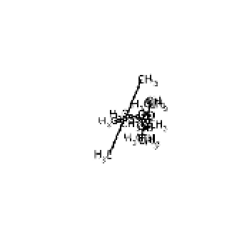 CC#CC#CC#CC#CC#CC#CC#CC1(C)c2cc3c(cc2-c2sc(C)cc21)C(C)(C#CC#CC#CC#CC#CC#CC#CC)c1cc(-c2ccc(-c4cc5c6c(c(C)cc7c6c4C(=O)N(CCC#C[Si](C)(C)C)C7=O)C(=O)N(CCC#C[Si](C)(C)C)C5=O)s2)sc1-3